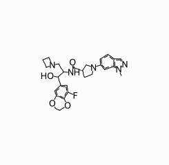 Cn1ncc2ccc(N3CC[C@@H](C(=O)NC(CN4CCC4)C(O)c4cc(F)c5c(c4)OCCO5)C3)cc21